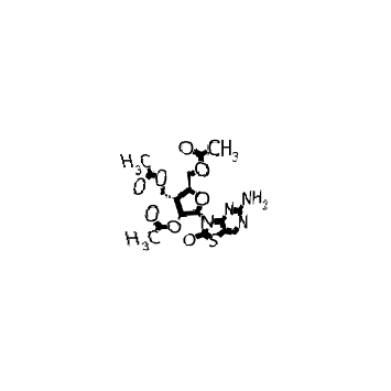 CC(=O)OC[C@H]1[C@@H](OC(C)=O)[C@H](n2c(=O)sc3cnc(N)nc32)O[C@@H]1COC(C)=O